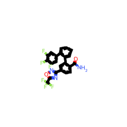 NC(=O)c1ccc(-c2noc(C(F)(F)F)n2)cc1-c1ccccc1-c1cc(F)c(F)c(F)c1